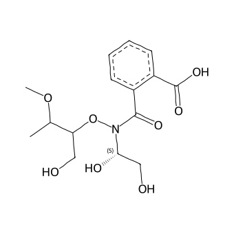 COC(C)C(CO)ON(C(=O)c1ccccc1C(=O)O)[C@@H](O)CO